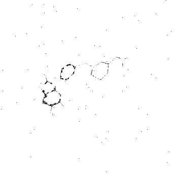 CN(C)CC1CCCN(Cc2ccc(-n3c(O)nc4cc(Cl)c(Cl)cc43)cc2)C1